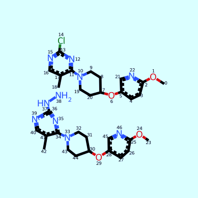 COc1ccc(OC2CCN(c3nc(Cl)ncc3C)CC2)cn1.COc1ccc(OC2CCN(c3nc(NN)ncc3C)CC2)cn1